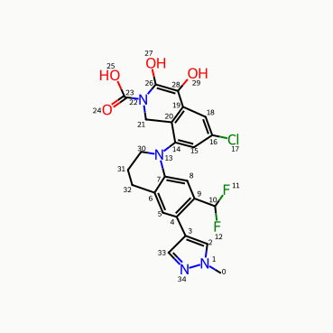 Cn1cc(-c2cc3c(cc2C(F)F)N(c2cc(Cl)cc4c2CN(C(=O)O)C(O)=C4O)CCC3)cn1